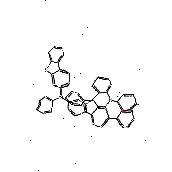 c1ccc(-c2ccc3c4c2N(c2ccccc2)c2ccccc2C4(c2ccccc2)c2cc(N(c4ccccc4)c4ccc5c(c4)sc4ccccc45)ccc2-3)cc1